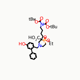 CCOP1(=O)CCN(Cc2ccc(O)cc2-c2ccccc2)CC1(CCCCN(C(=O)OC(C)(C)C)C(=O)OC(C)(C)C)C(=O)O